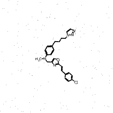 CN(Cc1coc(C=Cc2ccc(Cl)cc2)n1)c1ccc(CCCCn2ccnn2)cc1